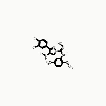 CCNC1CN(/C(=N\C#N)Nc2cc(C(F)(F)F)ccc2OC(F)(F)F)N=C1c1ccc(Cl)c(Cl)c1